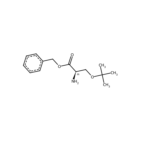 CC(C)(C)OC[C@@H](N)C(=O)OCc1ccccc1